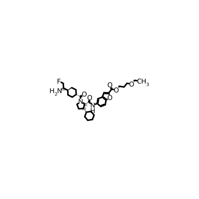 CCOCCCOC(=O)c1cc2cc(NC(=O)[C@@H]3[C@H](C4CCCCC4)CCN3C(=O)[C@H]3CC[C@H]([C@H](N)CF)CC3)ccc2o1